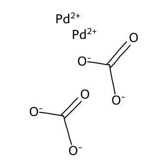 O=C([O-])[O-].O=C([O-])[O-].[Pd+2].[Pd+2]